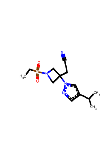 CCS(=O)(=O)N1CC(CC#N)(n2cc(C(C)C)cn2)C1